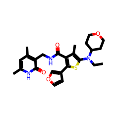 CCN(c1sc(-c2ccoc2)c(C(=O)NCc2c(C)cc(C)[nH]c2=O)c1C)C1CCOCC1